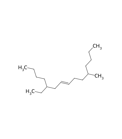 CCCCC(C)CC/C=C/CC(CC)CCCC